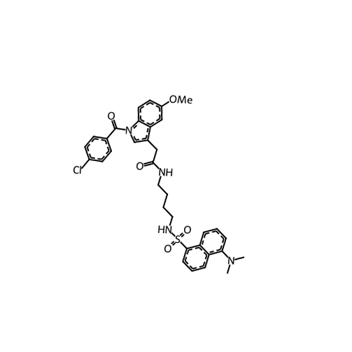 COc1ccc2c(c1)c(CC(=O)NCCCCNS(=O)(=O)c1cccc3c(N(C)C)cccc13)cn2C(=O)c1ccc(Cl)cc1